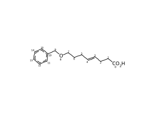 O=C(O)CCC=CCCCOCc1ccccc1